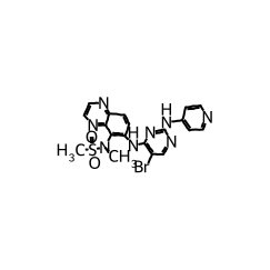 CN(c1c(Nc2nc(Nc3ccncc3)ncc2Br)ccc2nccnc12)S(C)(=O)=O